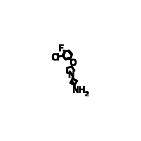 NC12CC(N3CCC(Oc4ccc(F)c(Cl)c4)C3)(C1)C2